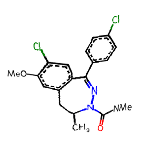 CNC(=O)N1N=C(c2ccc(Cl)cc2)c2cc(Cl)c(OC)cc2CC1C